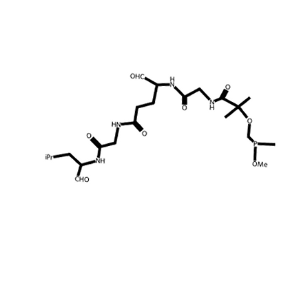 COP(C)COC(C)(C)C(=O)NCC(=O)NC(C=O)CCC(=O)NCC(=O)NC(C=O)CC(C)C